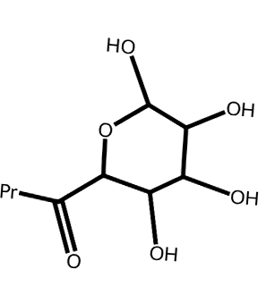 CC(C)C(=O)C1OC(O)C(O)C(O)C1O